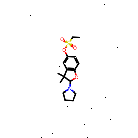 CCS(=O)(=O)Oc1ccc2c(c1)C(C)(C)C(N1CCCC1)O2